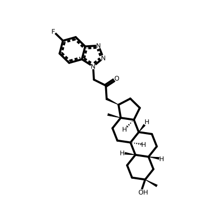 C[C@@]1(O)CC[C@H]2[C@H](CC[C@@H]3[C@@H]2CC[C@]2(C)[C@@H](CC(=O)Cn4nnc5cc(F)ccc54)CC[C@@H]32)C1